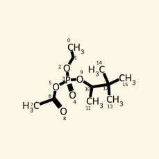 CCOP(=O)(OC(C)=O)OC(C)C(C)(C)C